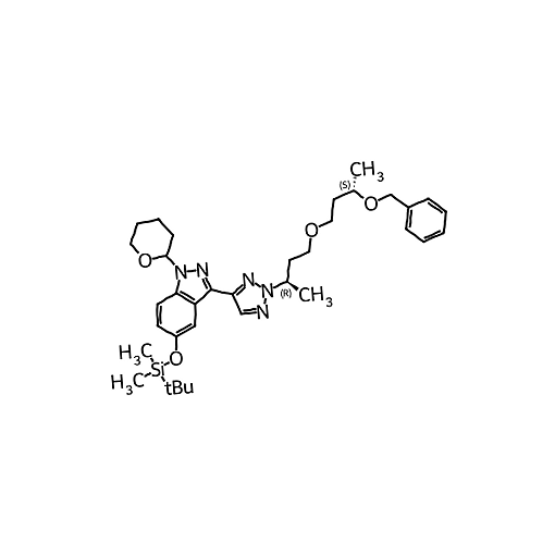 C[C@H](CCOCC[C@H](C)OCc1ccccc1)n1ncc(-c2nn(C3CCCCO3)c3ccc(O[Si](C)(C)C(C)(C)C)cc23)n1